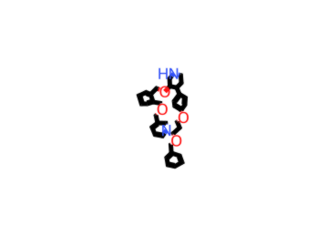 c1ccc(COCCCOc2ccc(C3CCNCC3OCc3ccccc3COCc3cccnc3)cc2)cc1